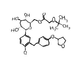 CC(C)(C)OCC(=O)OC[C@H]1O[C@@H](c2ccc(Cl)c(Cc3ccc(OC4CCOC4)cc3)c2)[C@H](O)[C@@H](O)[C@@H]1O